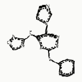 c1ccc(Sc2nnc(-n3ccnc3)c(Nc3ncon3)n2)cc1